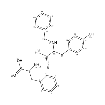 NC(Cc1ccccc1)C(=O)O.O=C(O)C(Cc1ccc(O)cc1)NCc1ccccc1